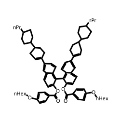 CCCCCCOc1ccc(C(=O)Oc2ccc3cc(C4=CCC(C5CCC(CCC)CC5)CC4)ccc3c2-c2c(OC(=O)c3ccc(OCCCCCC)cc3)ccc3cc(C4=CCC(C5CCC(CCC)CC5)CC4)ccc23)cc1